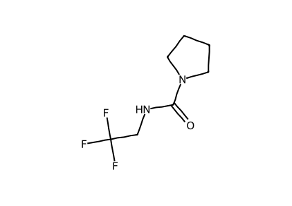 O=C(NCC(F)(F)F)N1CCCC1